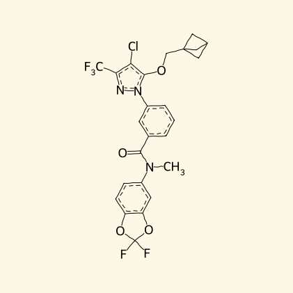 CN(C(=O)c1cccc(-n2nc(C(F)(F)F)c(Cl)c2OCC23CC(C2)C3)c1)c1ccc2c(c1)OC(F)(F)O2